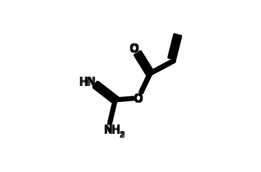 C=CC(=O)OC(=N)N